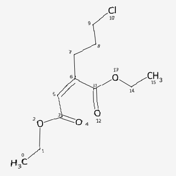 CCOC(=O)/C=C(/CCCCl)C(=O)OCC